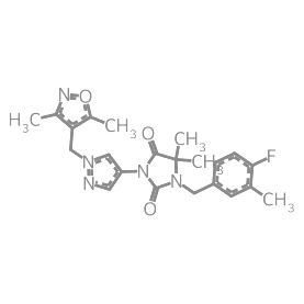 Cc1cc(CN2C(=O)N(c3cnn(Cc4c(C)noc4C)c3)C(=O)C2(C)C)ccc1F